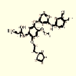 C=CC(O)Nc1cc(Nc2cc(Nc3ccc(F)c(Cl)c3)ncn2)c(OC)cc1OCCN1CCCC1